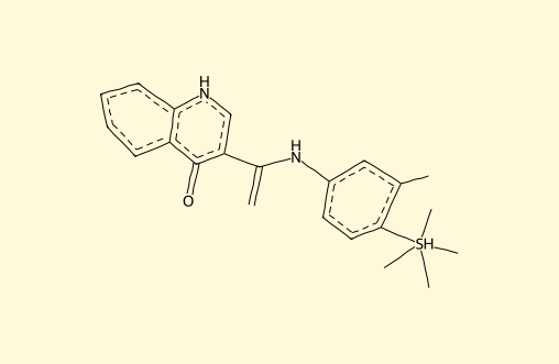 C=C(Nc1ccc([SH](C)(C)(C)C)c(C)c1)c1c[nH]c2ccccc2c1=O